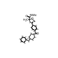 CNC(=O)C1(C)CC(c2ccc(C(=O)N3CCC(Cc4ccccc4)CC3)cc2)=NO1